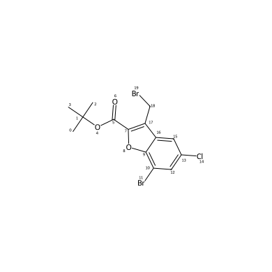 CC(C)(C)OC(=O)c1oc2c(Br)cc(Cl)cc2c1CBr